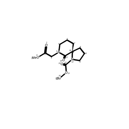 COC(=O)CN1CCC[C@]2(CCCN2C(=O)OC(C)(C)C)C1=O